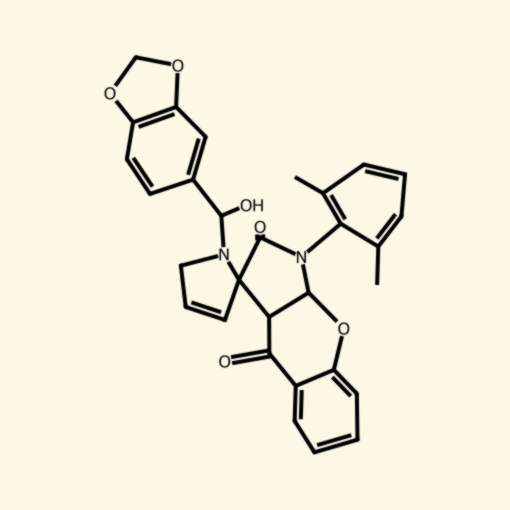 Cc1cccc(C)c1N1C(=O)C2(C=CCN2C(O)c2ccc3c(c2)OCO3)C2C(=O)c3ccccc3OC21